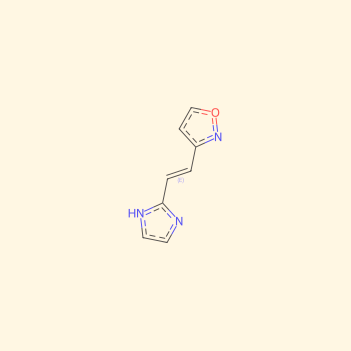 C(=C\c1ncc[nH]1)/c1ccon1